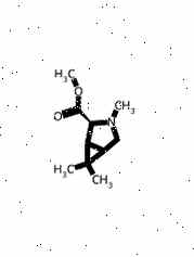 COC(=O)[C@@H]1C2C(CN1C)C2(C)C